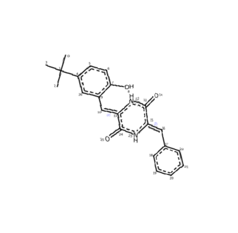 CC(C)(C)c1ccc(O)c(/C=c2\[nH]c(=O)/c(=C/c3ccccc3)[nH]c2=O)c1